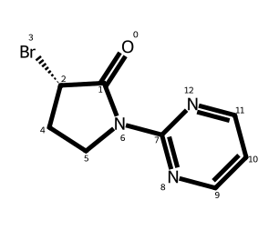 O=C1[C@@H](Br)CCN1c1ncccn1